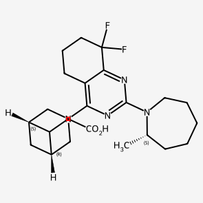 C[C@H]1CCCCCN1c1nc(N2C[C@H]3C[C@@H](C2)C3CC(=O)O)c2c(n1)C(F)(F)CCC2